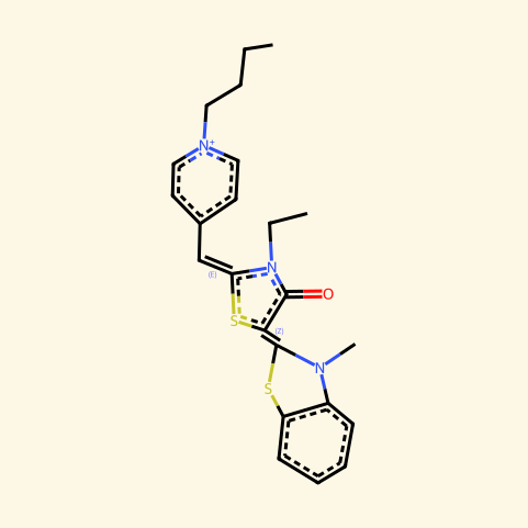 CCCC[n+]1ccc(/C=c2/s/c(=C3\Sc4ccccc4N3C)c(=O)n2CC)cc1